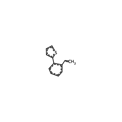 C=Cc1ccccc1-c1cccs1